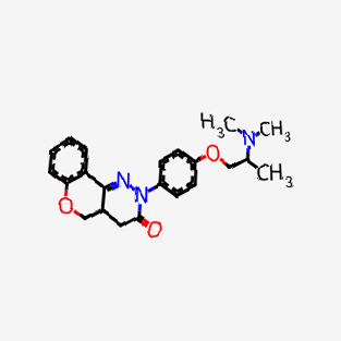 CC(COc1ccc(N2N=C3c4ccccc4OCC3CC2=O)cc1)N(C)C